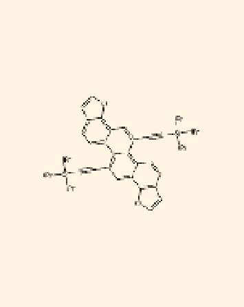 CC(C)[Si](C#Cc1cc2c(ccc3ccoc32)c2c(C#C[Si](C(C)C)(C(C)C)C(C)C)cc3c(ccc4ccoc43)c12)(C(C)C)C(C)C